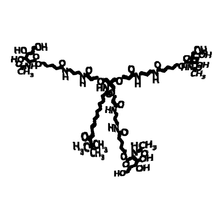 CC(=O)NC1C(O)[C@H](O)C(CO)O[C@H]1OCCCCC(=O)NCCCNC(=O)CCOCC(COCCC(=O)NCCCNC(=O)CCCCO[C@@H]1OC(CO)[C@@H](O)C(O)C1NC(C)=O)(COCCC(=O)NCCCNC(=O)CCCCO[C@@H]1OC2(CO)[C@@H](O)C(O)C12NC(C)=O)NC(=O)CCCCCCCCCCC(=O)C(C)(C)C